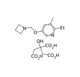 CCc1ncc(OCN2CCC2)cc1C.O=C(O)CC(O)(CC(=O)O)C(=O)O